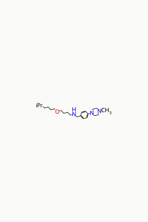 CC(C)CCCCOCCCCNCc1ccc(N2CCN(C)CC2)cc1